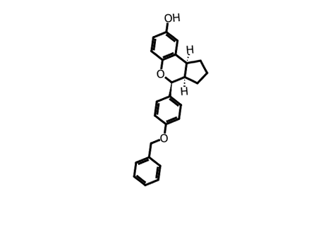 Oc1ccc2c(c1)[C@H]1CCC[C@H]1[C@@H](c1ccc(OCc3ccccc3)cc1)O2